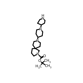 CC(C)(C)OC(=O)N1CCCC2(CCN(C3CCN(C4CCNCC4)CC3)CC2)C1